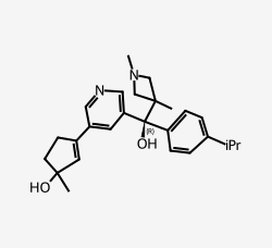 CC(C)c1ccc([C@](O)(c2cncc(C3=CC(C)(O)CC3)c2)C2(C)CN(C)C2)cc1